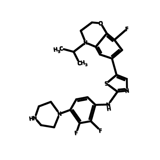 CC(C)N1CCOc2c(F)cc(-c3cnc(Nc4ccc(N5CCNCC5)c(F)c4F)s3)cc21